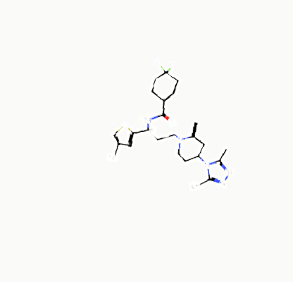 C=C1CC(n2c(C)nnc2C(C)C)CCN1CC[C@H](NC(=O)C1CCC(F)(F)CC1)c1cc(C(C)=O)cs1